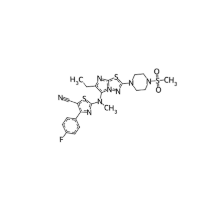 CCc1nc2sc(N3CCN(S(C)(=O)=O)CC3)nn2c1N(C)c1nc(-c2ccc(F)cc2)c(C#N)s1